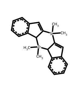 C[Si]1(C)C2=Cc3ccccc3[CH]2[Zr]([CH3])([CH3])[CH]2C1=Cc1ccccc12